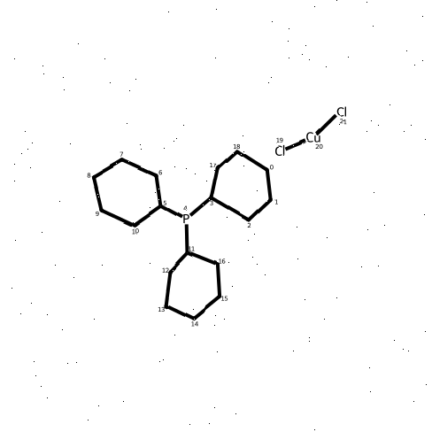 C1CCC(P(C2CCCCC2)C2CCCCC2)CC1.[Cl][Cu][Cl]